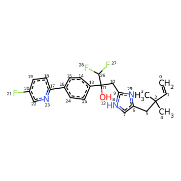 C=CC(C)(C)Cc1c[nH]c(CC(O)(c2ccc(-c3ccc(F)cn3)cc2)C(F)F)n1